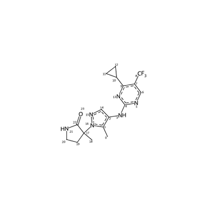 Cc1c(Nc2ncc(C(F)(F)F)c(C3CC3)n2)cnn1C1(C)CCNC1=O